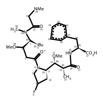 CC[C@H](C)[C@@H](C(CC(=O)N1CC(F)C[C@H]1[C@H](OC)[C@@H](C)C(=O)N[C@@H](Cc1ccccc1)C(=O)O)OC)N(C)C(=O)CNC